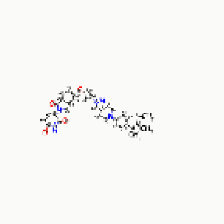 C=CC(=C)[C@H](C)c1ccc(N2CCC(CN[C@H]3C[C@H](Oc4ccc5c(c4)CN(C4CCC(=O)NC4=O)C5=O)C3)CC2)cc1